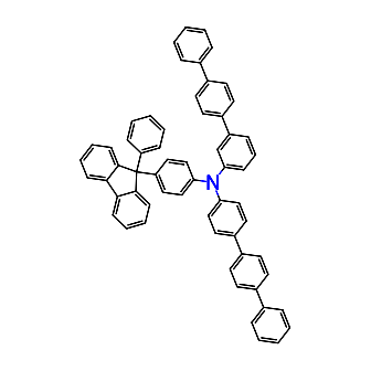 c1ccc(-c2ccc(-c3ccc(N(c4ccc(C5(c6ccccc6)c6ccccc6-c6ccccc65)cc4)c4cccc(-c5ccc(-c6ccccc6)cc5)c4)cc3)cc2)cc1